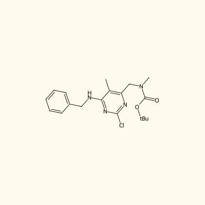 Cc1c(CN(C)C(=O)OC(C)(C)C)nc(Cl)nc1NCc1ccccc1